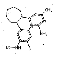 CCNc1cc(C2CCCCCN2c2cc(C)nc(N)n2)c(Cl)cc1F